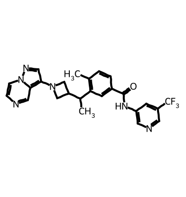 Cc1ccc(C(=O)Nc2cncc(C(F)(F)F)c2)cc1C(C)C1CN(c2cnn3ccncc23)C1